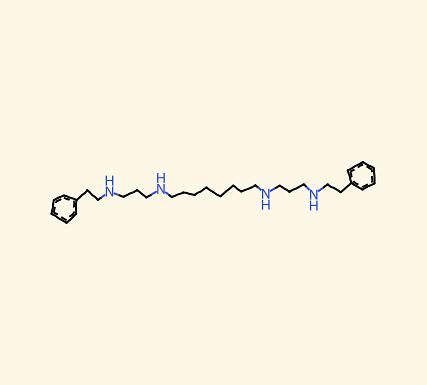 c1ccc(CCNCCCNCCCCCCCCNCCCNCCc2ccccc2)cc1